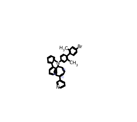 Cc1cc(Br)ccc1-c1ccc(N(c2ccccc2-c2ccccc2)C2\C=C/C=C(c3cccnc3)\C=C/C2)cc1C